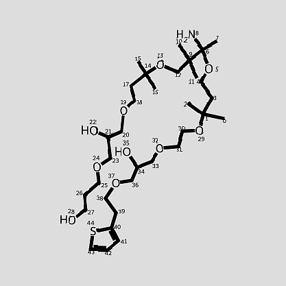 CC(C)(CCOC(C)(N)C(C)(C)COC(C)(C)CCOCC(O)COCCCO)OCCOCC(O)COCCc1cccs1